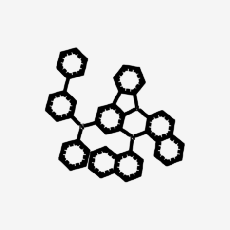 c1ccc(-c2cccc(N(c3ccccc3)c3cc4c5c(c3)N(c3cccc6ccccc36)c3c(ccc6ccccc36)B5c3ccccc3-4)c2)cc1